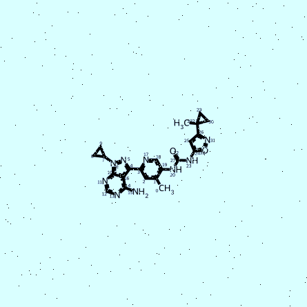 Cc1cc(-c2nn(C3CC3)c3ncnc(N)c23)ncc1NC(=O)Nc1cc(C2(C)CC2)no1